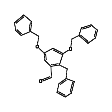 O=Cc1cc(OCc2ccccc2)cc(OCc2ccccc2)c1Cc1ccccc1